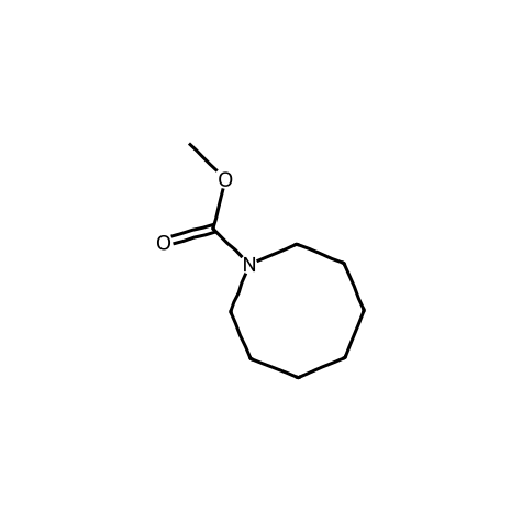 COC(=O)N1CCCCCCC1